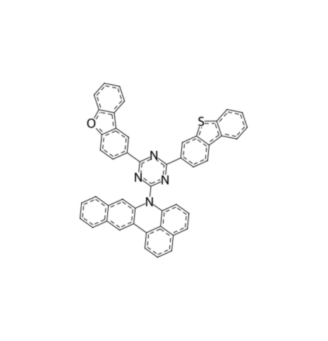 c1ccc2cc3c(cc2c1)-c1cccc2cccc(c12)N3c1nc(-c2ccc3c(c2)sc2ccccc23)nc(-c2ccc3oc4ccccc4c3c2)n1